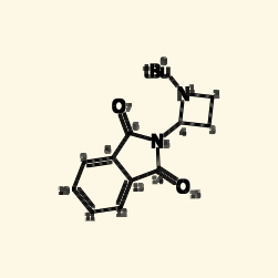 CC(C)(C)N1CCC1N1C(=O)c2ccccc2C1=O